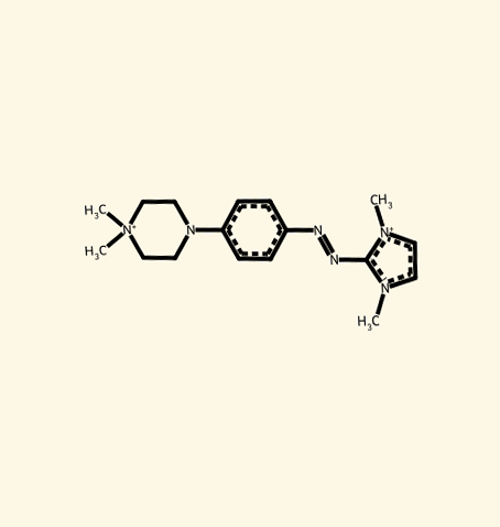 Cn1cc[n+](C)c1N=Nc1ccc(N2CC[N+](C)(C)CC2)cc1